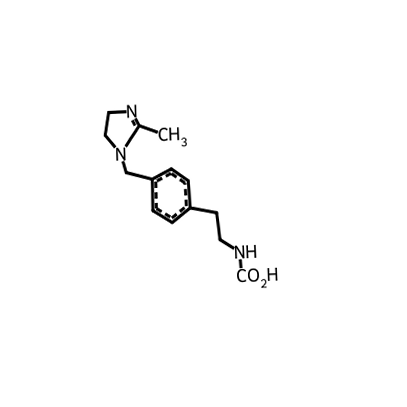 CC1=NCCN1Cc1ccc(CCNC(=O)O)cc1